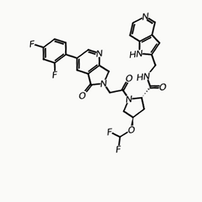 O=C(NCc1cc2cnccc2[nH]1)[C@@H]1C[C@@H](OC(F)F)CN1C(=O)CN1Cc2ncc(-c3ccc(F)cc3F)cc2C1=O